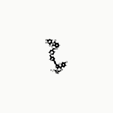 Cc1c(C#Cc2ccc(CN3CCC(CNc4cccc5c4C(=O)N(C4CCC(=O)NC4=O)C5=O)CC3)cn2)sc2c1C(c1ccc(Cl)cc1)=NCc1nnc(C)n1-2